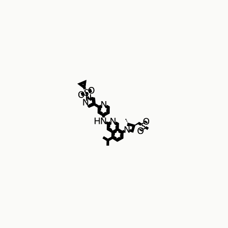 CC(C)c1ccc(N2C[C@H](CS(C)(=O)=O)[C@H]2C)c2cnc(Nc3ccnc(-c4cnn(S(=O)(=O)C5CC5)c4)c3)cc12